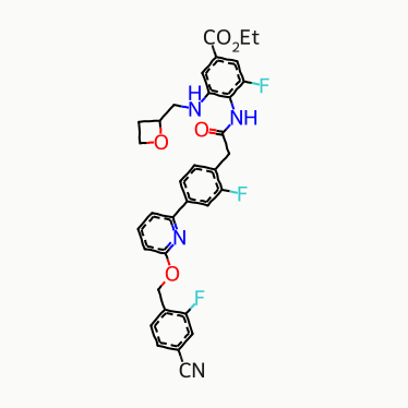 CCOC(=O)c1cc(F)c(NC(=O)Cc2ccc(-c3cccc(OCc4ccc(C#N)cc4F)n3)cc2F)c(NCC2CCO2)c1